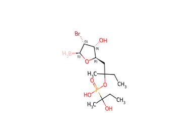 B[C@@H]1O[C@H](CC(C)(CC)OP(=O)(O)C(C)(O)CC)[C@@H](O)[C@H]1Br